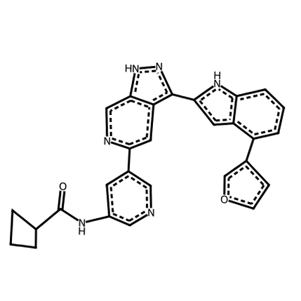 O=C(Nc1cncc(-c2cc3c(-c4cc5c(-c6ccoc6)cccc5[nH]4)n[nH]c3cn2)c1)C1CCC1